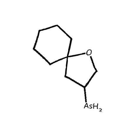 [AsH2]C1COC2(CCCCC2)C1